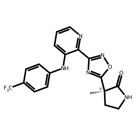 C[C@@]1(c2nc(-c3ncccc3Nc3ccc(C(F)(F)F)cc3)no2)CCNC1=O